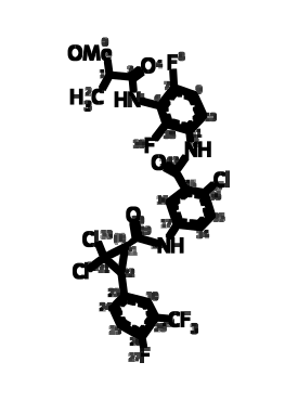 COC(C)C(=O)Nc1c(F)ccc(NC(=O)c2cc(NC(=O)[C@H]3C(c4ccc(F)c(C(F)(F)F)c4)C3(Cl)Cl)ccc2Cl)c1F